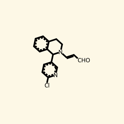 O=CC=CN1CCc2ccccc2C1c1ccc(Cl)nc1